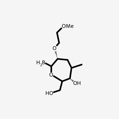 BC1OC(CO)[C@@H](O)C(C)C[C@H]1OCCOC